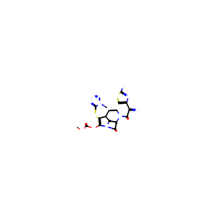 CO/N=C(\C(=O)N1CCC2C(Sc3nnnn3C)=C(OC(=O)OC(C)(C)C)N3C(=O)[C@@H]1[C@@H]23)c1csc(N)n1